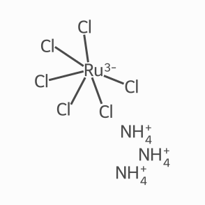 [Cl][Ru-3]([Cl])([Cl])([Cl])([Cl])[Cl].[NH4+].[NH4+].[NH4+]